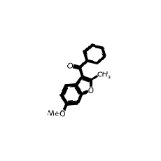 COc1ccc2c(C(=O)C3CCCCC3)c(C)oc2c1